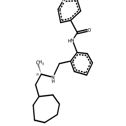 C[C@@H](CC1CCCCCC1)NCc1ccccc1NC(=O)c1ccncc1